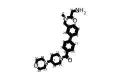 CN(Cc1cccc(-c2ccc(C(=O)N3CCC(N4CCOCC4)CC3)cc2)c1)C(=O)CN